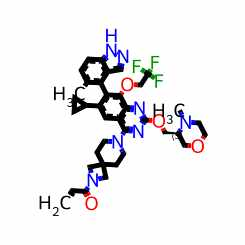 C=CC(=O)N1CC2(CCN(c3nc(OC[C@@H]4COCCN4C)nc4c(OCC(F)(F)F)c(-c5c(C)ccc6[nH]ncc56)c(C5CC5)cc34)CC2)C1